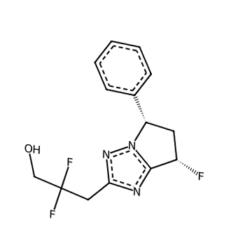 OCC(F)(F)Cc1nc2n(n1)[C@H](c1ccccc1)C[C@@H]2F